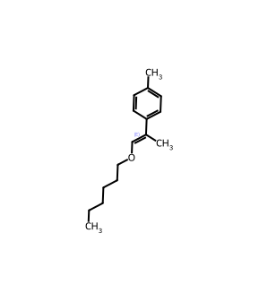 CCCCCCO/C=C(\C)c1ccc(C)cc1